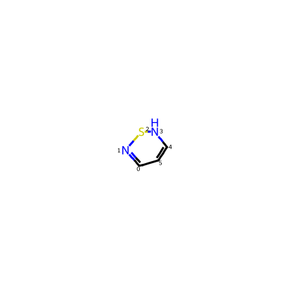 [C]1=NSNC=C1